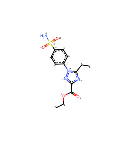 CCOC(=O)c1nc(CC)n(-c2ccc(S(N)(=O)=O)cc2)n1